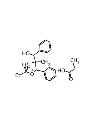 CCC(=O)O.CCC(=O)OC(c1ccccc1)C(C)(C)C(O)c1ccccc1